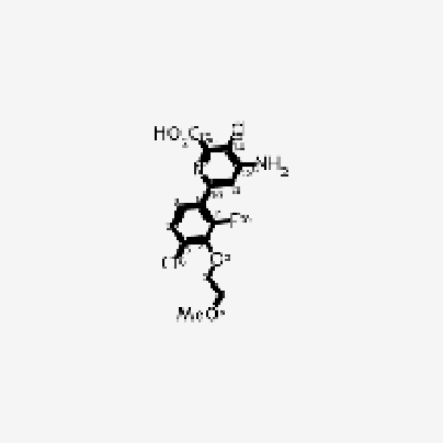 COCCOc1c(Cl)ccc(-c2cc(N)c(Cl)c(C(=O)O)n2)c1F